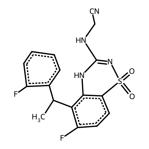 CC(c1ccccc1F)c1c(F)ccc2c1NC(NCC#N)=NS2(=O)=O